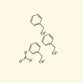 [Cd+][CH2]c1ccccc1.[Cd+][CH2]c1ccccc1.[Cd+][CH2]c1ccccc1.[O-]P([O-])[O-]